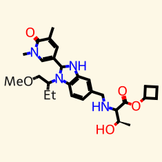 CCC(COC)N1c2ccc(CNC(C(=O)OC3CCC3)[C@@H](C)O)cc2NC1c1cc(C)c(=O)n(C)c1